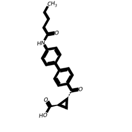 CCCCC(=O)Nc1ccc(-c2ccc(C(=O)[C@@H]3C[C@H]3C(=O)O)cc2)cc1